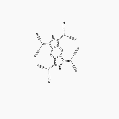 N#CC(C#N)=c1[nH]c(=C(C#N)C#N)c2cc3c(=C(C#N)C#N)[nH]c(=C(C#N)C#N)c3cc12